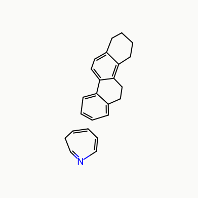 C1=CCC=NC=C1.c1ccc2c(c1)CCc1c-2ccc2c1CCCC2